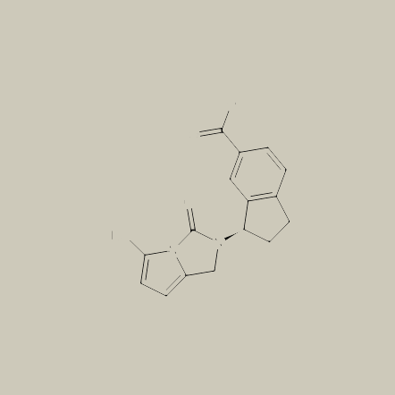 Cc1ccc2n1C(=O)N([C@@H]1CCc3ccc(C(=O)O)cc31)C2